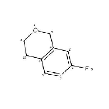 Fc1ccc2c(c1)COCC2